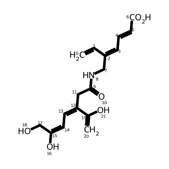 C=C/C(=C\C=C\C(=O)O)CNC(=O)C/C(=C/C=C(/O)CO)C(=C)O